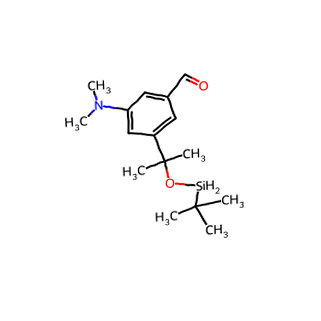 CN(C)c1cc(C=O)cc(C(C)(C)O[SiH2]C(C)(C)C)c1